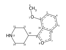 COc1cccc2coc(C3CCNCC3)c12